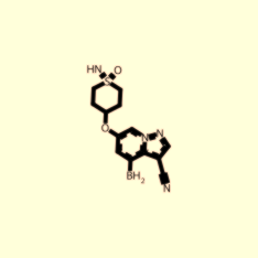 Bc1cc(OC2CCS(=N)(=O)CC2)cn2ncc(C#N)c12